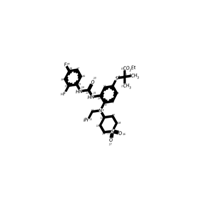 CCOC(=O)C(C)(C)Sc1ccc(N(CC(C)C)C2CCS(=O)(=O)CC2)c(NC(=O)Nc2ccc(F)cc2F)c1